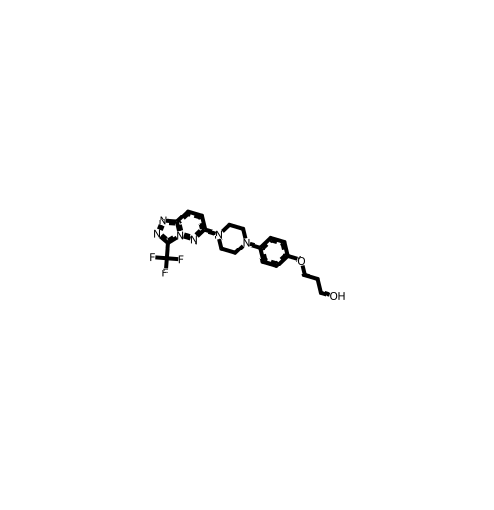 OCCCOc1ccc(N2CCN(c3ccc4nnc(C(F)(F)F)n4n3)CC2)cc1